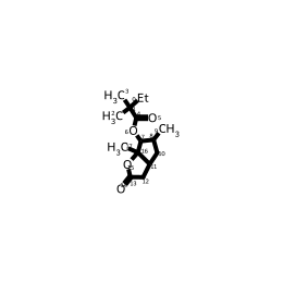 CCC(C)(C)C(=O)OC1C(C)CC2CC(=O)OC21C